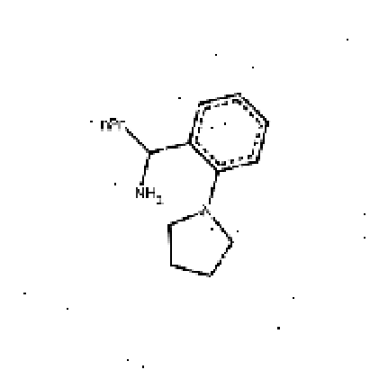 CCCC(N)c1ccccc1N1CCCC1